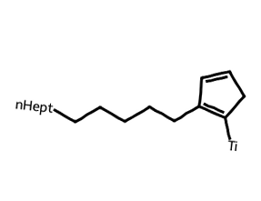 CCCCCCCCCCCCC1=[C]([Ti])CC=C1